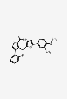 COc1ccc(-c2ccc(Cc3c(-c4ccccc4F)coc3C(N)=O)s2)cc1C